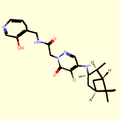 C[C@H]1[C@H]2C[C@H](C[C@H]1Nc1cnn(CC(=O)NCc3ccncc3O)c(=O)c1Cl)C2(C)C